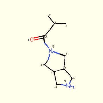 CC(C)C(=O)N1CC2CNCC2C1